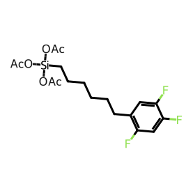 CC(=O)O[Si](CCCCCCc1cc(F)c(F)cc1F)(OC(C)=O)OC(C)=O